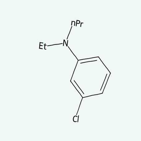 CCCN(CC)c1cccc(Cl)c1